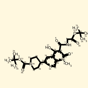 Cn1c(=O)c(C(=O)NCC(=O)OC(C)(C)C)c(O)c2cc(C3CCN(C(=O)OC(C)(C)C)CC3)ncc21